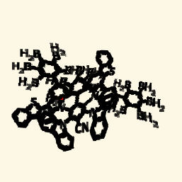 Bc1c(B)c(B)c(-c2ccc3c(c2)c2c4sc5ccccc5c4ccc2n3-c2c(-c3c(B)c(B)c(B)c(B)c3B)c(-n3c4ccc(-c5c(B)c(B)c(B)c(B)c5B)cc4c4c5sc6ccccc6c5ccc43)c(-n3c4ccccc4c4ccccc43)c(C#N)c2-n2c3ccccc3c3ccccc32)c(B)c1B